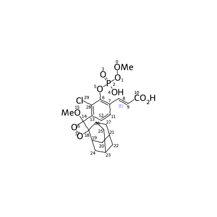 COOP(=O)(O)Oc1c(/C=C/C(=O)O)ccc(C2(OC)OOC23C2CC4CC(C2)CC3C4)c1Cl